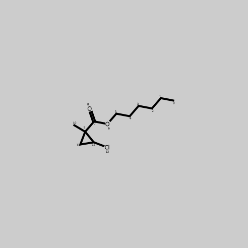 CCCCCCOC(=O)C1(C)CC1Cl